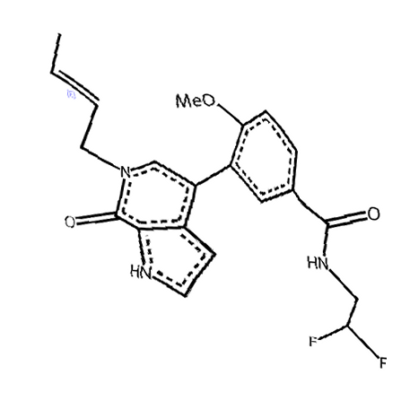 C/C=C/Cn1cc(-c2cc(C(=O)NCC(F)F)ccc2OC)c2cc[nH]c2c1=O